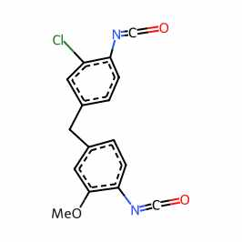 COc1cc(Cc2ccc(N=C=O)c(Cl)c2)ccc1N=C=O